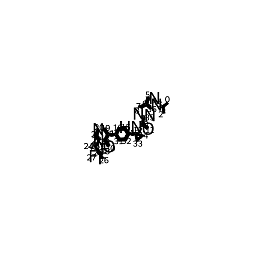 CC(C)n1ncc2cnc(C(=O)NC3(c4ccc(-c5cncn([C@@H](C)C(F)(F)F)c5=O)cc4)CC3)nc21